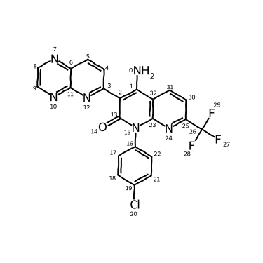 Nc1c(-c2ccc3nccnc3n2)c(=O)n(-c2ccc(Cl)cc2)c2nc(C(F)(F)F)ccc12